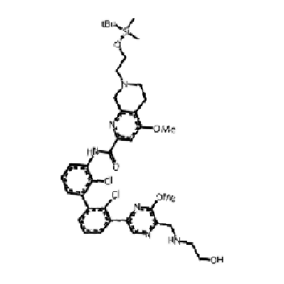 COc1cc(C(=O)Nc2cccc(-c3cccc(-c4cnc(CNCCO)c(OC)n4)c3Cl)c2Cl)nc2c1CCN(CCO[Si](C)(C)C(C)(C)C)C2